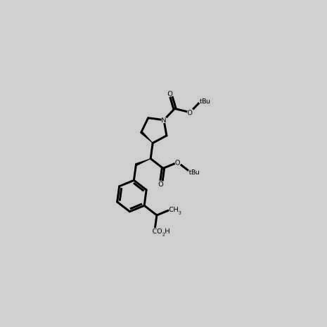 CC(C(=O)O)c1cccc(C[C@H](C(=O)OC(C)(C)C)[C@H]2CCN(C(=O)OC(C)(C)C)C2)c1